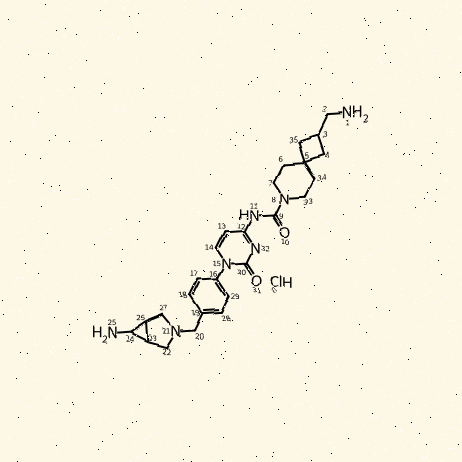 Cl.NCC1CC2(CCN(C(=O)Nc3ccn(-c4ccc(CN5CC6C(N)C6C5)cc4)c(=O)n3)CC2)C1